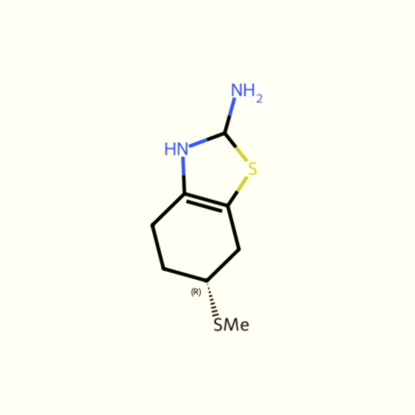 CS[C@@H]1CCC2=C(C1)SC(N)N2